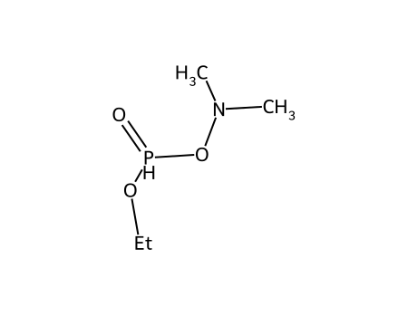 CCO[PH](=O)ON(C)C